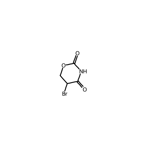 O=C1NC(=O)C(Br)CO1